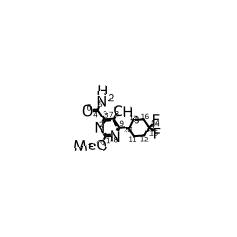 COc1nc(C(N)=O)c(C)c(C2CCC(F)(F)CC2)n1